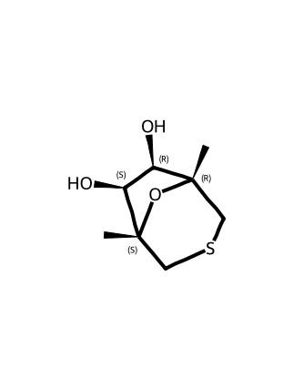 C[C@]12CSC[C@](C)(O1)[C@H](O)[C@@H]2O